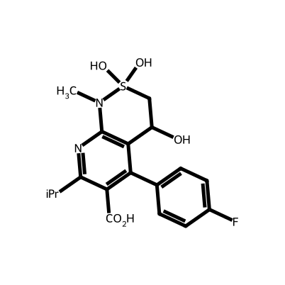 CC(C)c1nc2c(c(-c3ccc(F)cc3)c1C(=O)O)C(O)CS(O)(O)N2C